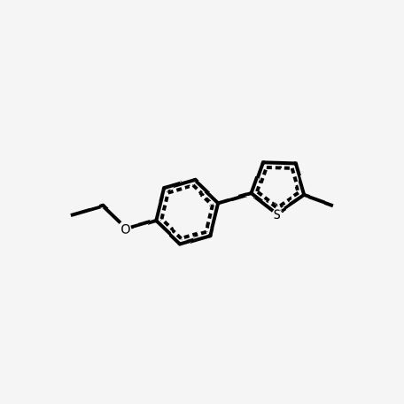 CCOc1ccc(-c2ccc(C)s2)cc1